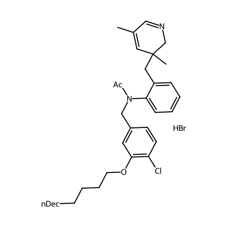 Br.CCCCCCCCCCCCCCOc1cc(CN(C(C)=O)c2ccccc2CC2(C)C=C(C)C=NC2)ccc1Cl